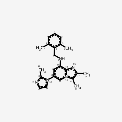 Cc1cccc(C)c1CNc1cc(-n2ccnc2C)cn2c(C)c(C)nc12